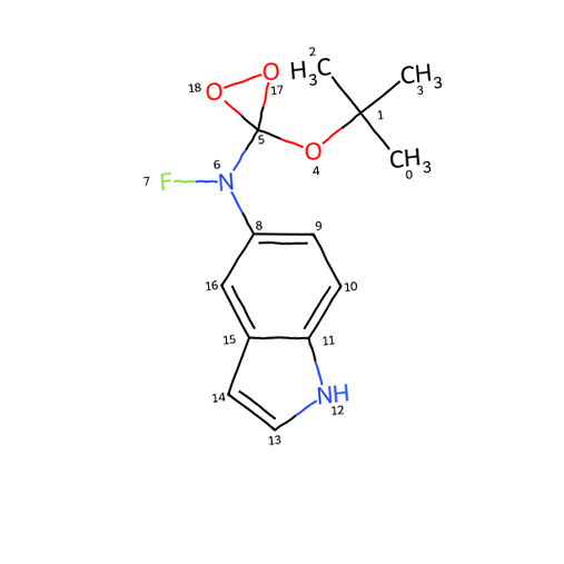 CC(C)(C)OC1(N(F)c2ccc3[nH]ccc3c2)OO1